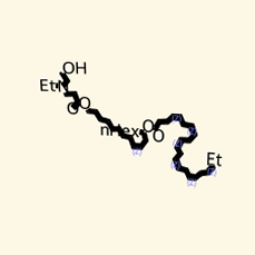 CC/C=C\C/C=C\C/C=C\C/C=C\C/C=C\C/C=C\CCC(=O)OC(C/C=C\CCCCCCCCOC(=O)CCN(CC)CCO)CCCCCC